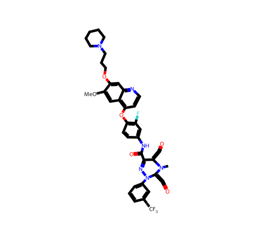 COc1cc2c(Oc3ccc(NC(=O)C4=NN(c5cccc(C(F)(F)F)c5)C(=C=O)N(C)C4=C=O)cc3F)ccnc2cc1OCCCN1CCCCC1